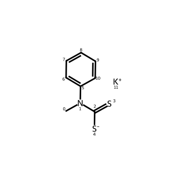 CN(C(=S)[S-])c1ccccc1.[K+]